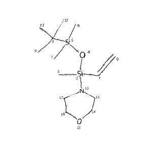 C=C[Si](C)(O[Si](C)(C)C(C)(C)C)N1CCOCC1